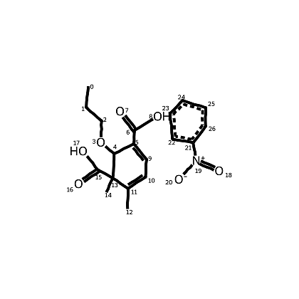 CCCOC1C(C(=O)O)=CC=C(C)C1(C)C(=O)O.O=[N+]([O-])c1ccccc1